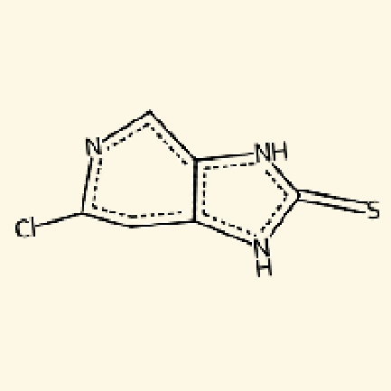 S=c1[nH]c2cnc(Cl)cc2[nH]1